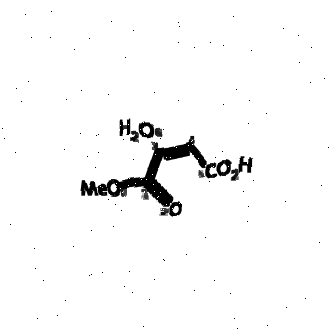 COC(=O)/C=C\C(=O)O.O